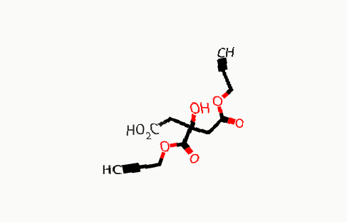 C#CCOC(=O)CC(O)(CC(=O)O)C(=O)OCC#C